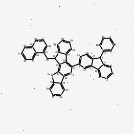 c1ccc(C2c3ccccc3-c3cc(-c4cc5c(sc6ccccc65)c5c4-c4ccccc4C5Cc4cccc5ccccc45)ccc32)cc1